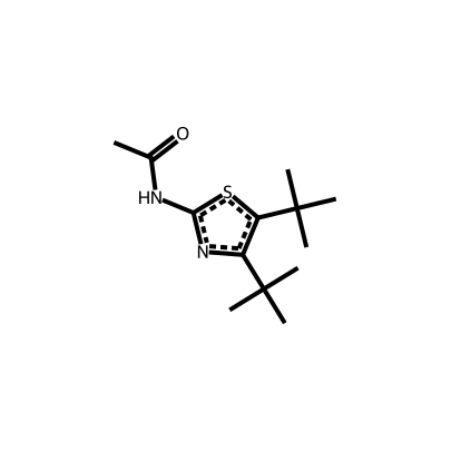 CC(=O)Nc1nc(C(C)(C)C)c(C(C)(C)C)s1